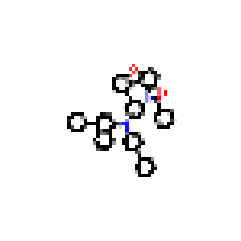 c1ccc(-c2ccc(N(c3cccc(-c4cccc5oc6ccc7oc(-c8ccccc8)nc7c6c45)c3)c3ccc(-c4ccccc4)c4ccccc34)cc2)cc1